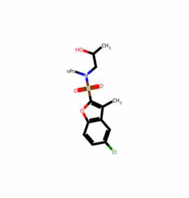 CCCN(CC(C)O)S(=O)(=O)c1oc2ccc(Cl)cc2c1C